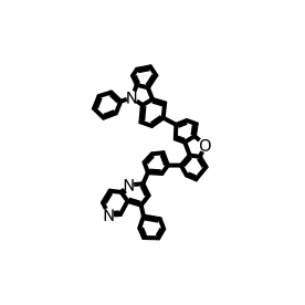 c1ccc(-c2cc(-c3cccc(-c4cccc5oc6ccc(-c7ccc8c(c7)c7ccccc7n8-c7ccccc7)cc6c45)c3)nc3ccncc23)cc1